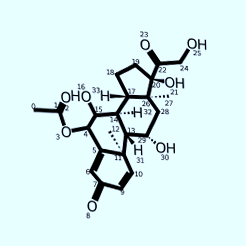 CC(=O)OC1C2=CC(=O)C=C[C@]2(C)[C@@H]2[C@@H](C1O)[C@@H]1CC[C@](O)(C(=O)CO)[C@@]1(C)C[C@@H]2O